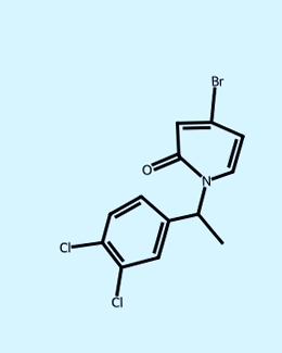 CC(c1ccc(Cl)c(Cl)c1)n1ccc(Br)cc1=O